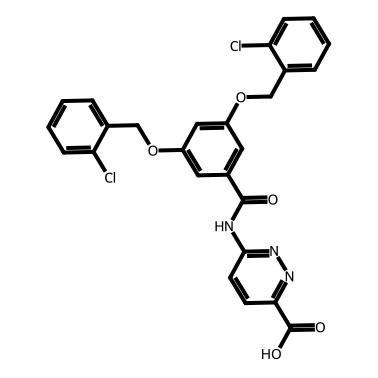 O=C(Nc1ccc(C(=O)O)nn1)c1cc(OCc2ccccc2Cl)cc(OCc2ccccc2Cl)c1